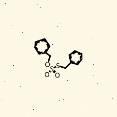 O=S(=O)(OCc1ccccc1)SCc1ccccc1